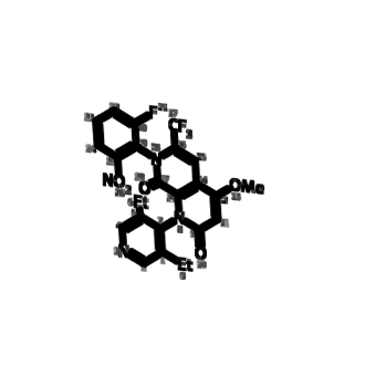 CCc1cncc(CC)c1-n1c(=O)cc(OC)c2cc(C(F)(F)F)n(-c3c(F)cccc3[N+](=O)[O-])c(=O)c21